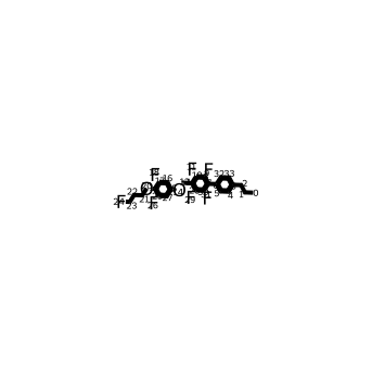 CCCc1ccc(-c2c(F)c(F)c(COc3cc(F)c(OCCCF)c(F)c3)c(F)c2F)cc1